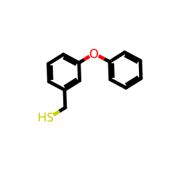 SCc1cccc(Oc2ccccc2)c1